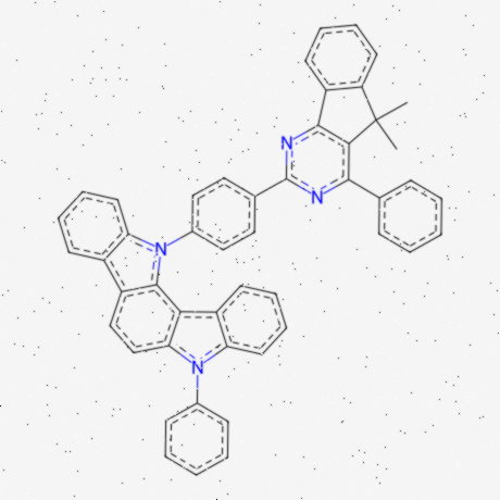 CC1(C)c2ccccc2-c2nc(-c3ccc(-n4c5ccccc5c5ccc6c(c7ccccc7n6-c6ccccc6)c54)cc3)nc(-c3ccccc3)c21